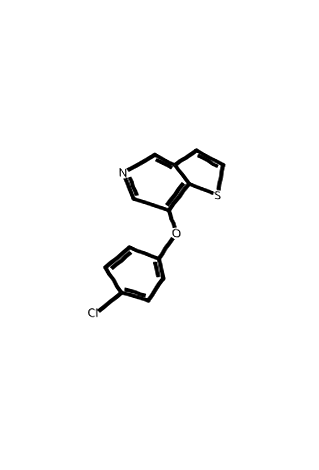 Clc1ccc(Oc2cncc3ccsc23)cc1